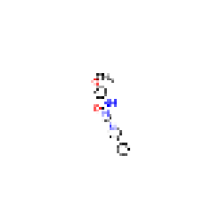 COc1ccc(NC(=O)N2CC(N3CCC(c4ccccc4)CC3)C2)cc1